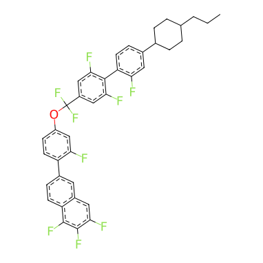 CCCC1CCC(c2ccc(-c3c(F)cc(C(F)(F)Oc4ccc(-c5ccc6c(F)c(F)c(F)cc6c5)c(F)c4)cc3F)c(F)c2)CC1